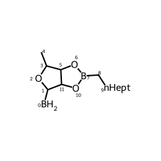 BC1OC(C)C2OB(CCCCCCCC)OC12